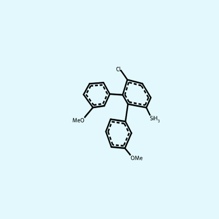 COc1cccc(-c2c([SiH3])ccc(Cl)c2-c2cccc(OC)c2)c1